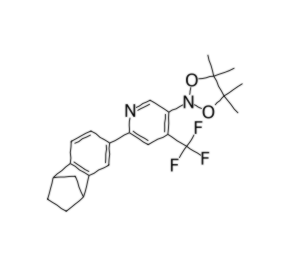 CC1(C)ON(c2cnc(-c3ccc4c(c3)C3CCC4C3)cc2C(F)(F)F)OC1(C)C